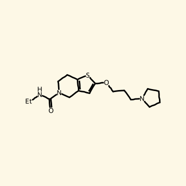 CCNC(=O)N1CCc2sc(OCCCN3CCCC3)cc2C1